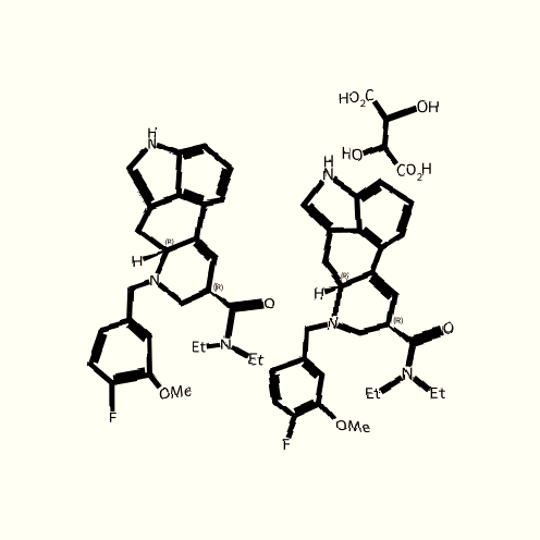 CCN(CC)C(=O)[C@@H]1C=C2c3cccc4[nH]cc(c34)C[C@H]2N(Cc2ccc(F)c(OC)c2)C1.CCN(CC)C(=O)[C@@H]1C=C2c3cccc4[nH]cc(c34)C[C@H]2N(Cc2ccc(F)c(OC)c2)C1.O=C(O)C(O)C(O)C(=O)O